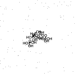 C=C.O=P(O)(O)O.O=P(O)(O)O.O=P(O)(O)O.O=P(O)(O)O